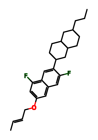 CC=CCOc1cc(F)c2cc(C3CCC4CC(CCC)CCC4C3)c(F)cc2c1